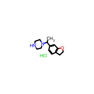 CC(c1ccc2c(c1)OCC2)N1CCNCC1.Cl